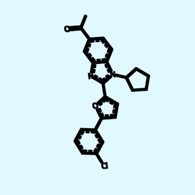 CC(=O)c1ccc2c(c1)nc(-c1ccc(-c3cccc(Cl)c3)o1)n2C1CCCC1